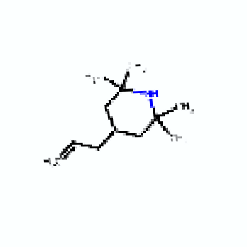 C=CCC1CC(C)(C)NC(C)(C)C1